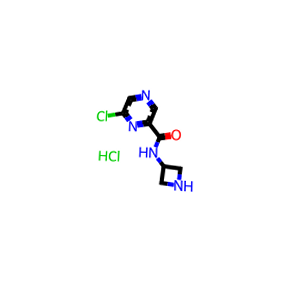 Cl.O=C(NC1CNC1)c1cncc(Cl)n1